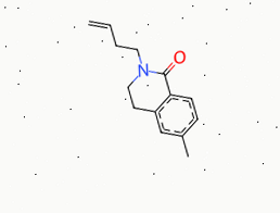 C=CCCN1CCc2cc(C)ccc2C1=O